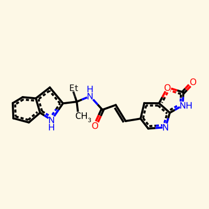 CCC(C)(NC(=O)C=Cc1cnc2[nH]c(=O)oc2c1)c1cc2ccccc2[nH]1